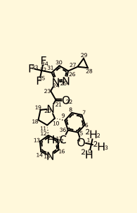 [2H]C([2H])([2H])Oc1cccc([C@@H]2[C@H](c3ccncc3)CCN2C(=O)Cn2nc(C3CC3)cc2C(F)(F)F)c1C